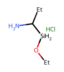 CCO[SiH2]C(N)CC.Cl